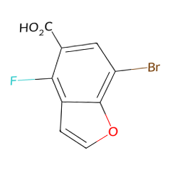 O=C(O)c1cc(Br)c2occc2c1F